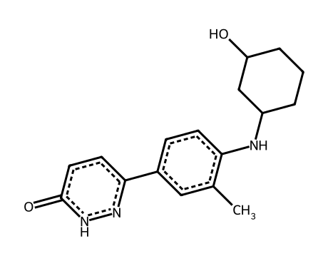 Cc1cc(-c2ccc(=O)[nH]n2)ccc1NC1CCCC(O)C1